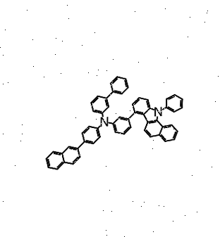 c1ccc(-c2cccc(N(c3ccc(-c4ccc5ccccc5c4)cc3)c3cccc(-c4cccc5c4c4ccc6ccccc6c4n5-c4ccccc4)c3)c2)cc1